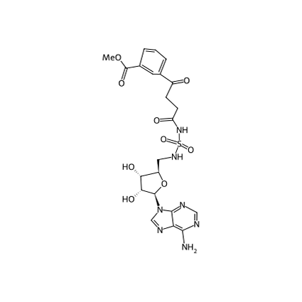 COC(=O)c1cccc(C(=O)CCC(=O)NS(=O)(=O)NC[C@H]2O[C@@H](n3cnc4c(N)ncnc43)[C@H](O)[C@@H]2O)c1